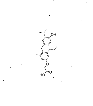 CCCc1cc(OCC(=O)O)cc(C)c1Cc1ccc(O)c(C(C)C)c1